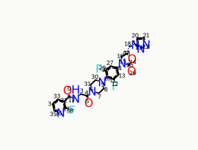 O=C(NCC(=O)N1CCN(c2c(F)cc(N3C[C@H](Cn4ccnn4)OC3=O)cc2F)CC1)c1cccnc1F